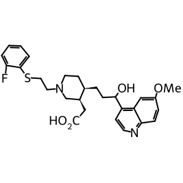 COc1ccc2nccc(C(O)CC[C@@H]3CCN(CCSc4ccccc4F)C[C@@H]3CC(=O)O)c2c1